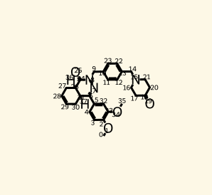 COc1ccc(C2=NN(Cc3ccc(CN4CCC(=O)CC4)cc3)C(=O)[C@H]3CC=CC[C@@H]23)cc1OC